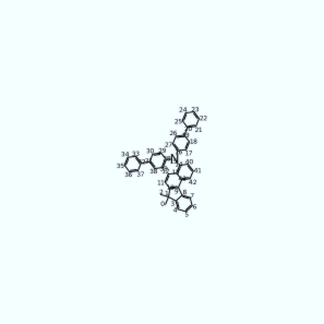 CC1(C)c2ccccc2-c2c1ccc1c(N(c3ccc(-c4ccccc4)cc3)c3ccc(-c4ccccc4)cc3)cccc21